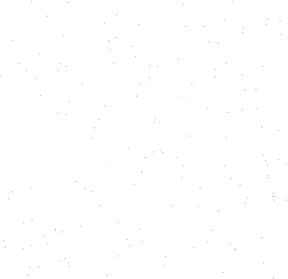 Cc1ccc(CC2CCCN(C(=O)OC(C)(C)C)C2)cc1